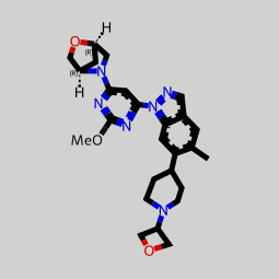 COc1nc(N2C[C@H]3C[C@@H]2CO3)cc(-n2ncc3cc(C)c(C4CCN(C5COC5)CC4)cc32)n1